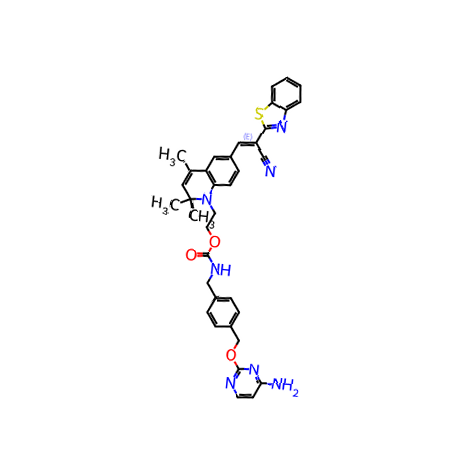 CC1=CC(C)(C)N(CCOC(=O)NCc2ccc(COc3nccc(N)n3)cc2)c2ccc(/C=C(\C#N)c3nc4ccccc4s3)cc21